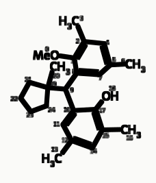 COc1c(C)cc(C)cc1C(c1cc(C)cc(C)c1O)C1(C)CCCC1